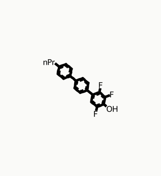 CCCc1ccc(-c2ccc(-c3cc(F)c(O)c(F)c3F)cc2)cc1